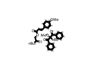 CCCCC(CC)COC(=O)C=Cc1ccc(OC)cc1.CCCCC(OC)(C(=O)c1ccccc1)C(=O)c1ccccc1